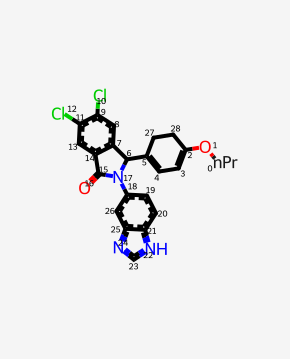 CCCOC1=CC=C(C2c3cc(Cl)c(Cl)cc3C(=O)N2c2ccc3[nH]cnc3c2)CC1